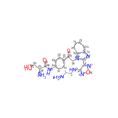 NCCNc1nonc1-c1nc2ccccc2n1CC(=O)c1ccc(NC(=O)[C@@H](N)CO)cc1